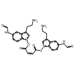 NCCc1cn(OC(=O)/C=C\C(=O)On2cc(CCN)c3cc(NC=O)ccc32)c2ccc(NC=O)cc12